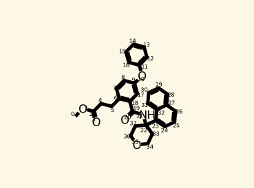 COC(=O)CCc1ccc(Oc2ccccc2)cc1C(=O)NC1(c2cccc3ccccc23)CCOCC1